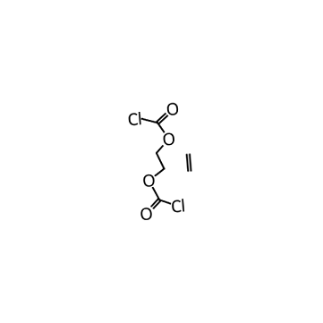 C=C.O=C(Cl)OCCOC(=O)Cl